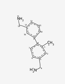 Cc1cc(CN)ccc1-c1cccc(CN)c1